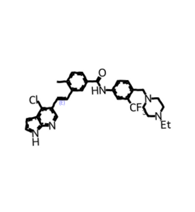 CCN1CCN(Cc2ccc(NC(=O)c3ccc(C)c(/C=C/c4cnc5[nH]ccc5c4Cl)c3)cc2C(F)(F)F)CC1